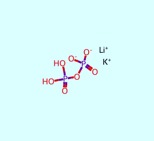 O=P([O-])([O-])OP(=O)(O)O.[K+].[Li+]